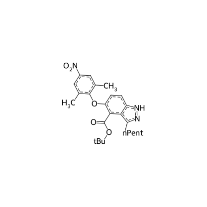 CCCCCc1n[nH]c2ccc(Oc3c(C)cc([N+](=O)[O-])cc3C)c(C(=O)OC(C)(C)C)c12